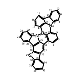 c1cc2c3c(c1)-n1c4ccccc4c4cccc(c41)B3n1c3ccccc3c3c4sc5ccccc5c4cc-2c31